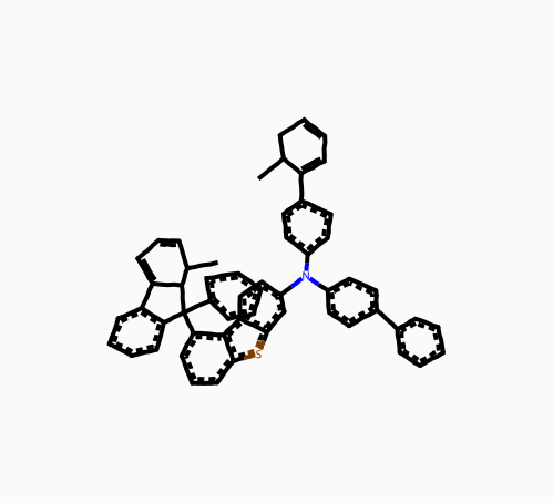 CC1CC=CC=C1c1ccc(N(c2ccc(-c3ccccc3)cc2)c2ccc3c(c2)sc2cccc(C4(c5ccccc5)c5ccccc5C5=CC=CC(C)C54)c23)cc1